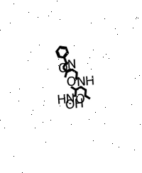 CCCC(NC(=O)Cc1nc(-c2ccccc2)oc1C)C(C)C(=O)NO